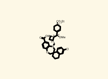 CCOC(=O)[C@H]1CC=C([C@@H](OC)[C@@H]2CC[C@H]2CN2CC3(CCCc4cc(Cl)ccc43)COc3ccc(C(=O)OC)cc32)CC1